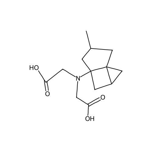 CC1CC23CC2CC3(N(CC(=O)O)CC(=O)O)C1